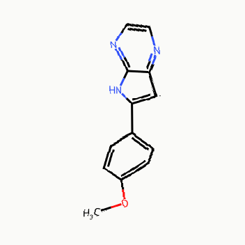 COc1ccc(-c2[c]c3nccnc3[nH]2)cc1